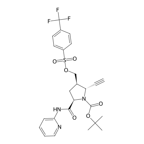 C#C[C@H]1[C@H](COS(=O)(=O)c2ccc(C(F)(F)F)cc2)C[C@H](C(=O)Nc2ccccn2)N1C(=O)OC(C)(C)C